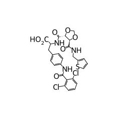 O=C(Nc1ccc(CC(NC(=O)[C@@H]2OCO[C@H]2C(=O)NCc2cccs2)C(=O)O)cc1)c1c(Cl)cccc1Cl